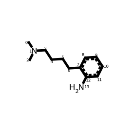 CN(C)CCCCc1ccccc1N